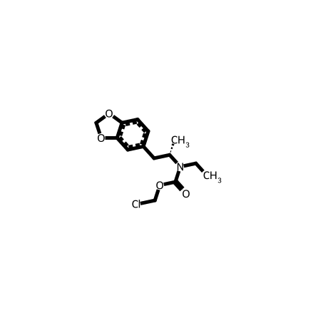 CCN(C(=O)OCCl)[C@@H](C)Cc1ccc2c(c1)OCO2